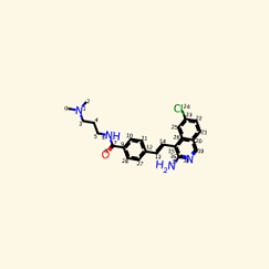 CN(C)CCCNC(=O)c1ccc(/C=C/c2c(N)ncc3ccc(Cl)cc23)cc1